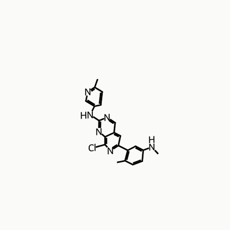 CNc1ccc(C)c(-c2cc3cnc(Nc4ccc(C)nc4)nc3c(Cl)n2)c1